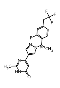 Cc1nc(-c2cnn([C@H](C)c3ccc(CC(F)(F)F)cc3F)c2)cc(=O)[nH]1